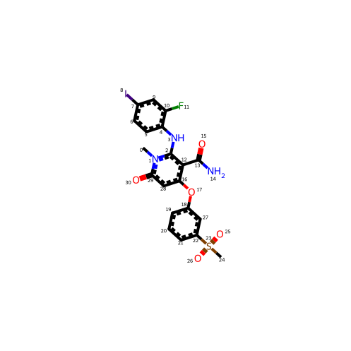 Cn1c(Nc2ccc(I)cc2F)c(C(N)=O)c(Oc2cccc(S(C)(=O)=O)c2)cc1=O